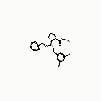 CC(C)(C)OC(=O)N1CCC[C@H]1[C@H](CCc1cc(F)cc(F)c1)OCc1ccccc1